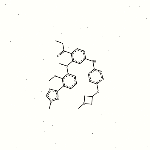 CCC(=O)c1cnc(Nc2ccc(OC3CN(C)C3)nn2)cc1N(C)c1cccc(-c2ncn(C)n2)c1OC